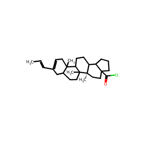 C/C=C/C1=CCC2(C)C(CCC3(C)C2CCC2C4CCCC4(C(=O)Cl)CC[C@]23C)C1